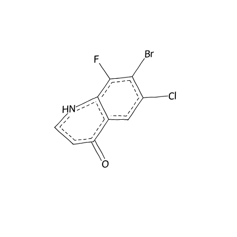 O=c1cc[nH]c2c(F)c(Br)c(Cl)cc12